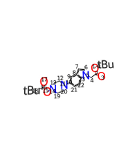 CC(C)(C)OC(=O)Cn1ccc2cc(N3CCN(OC(=O)C(C)(C)C)CC3)ccc21